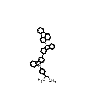 CCC(C)c1ccc(-n2c3ccccc3c3cc(-c4ccc5c(c4)c4ccccc4n5-c4ccc5c6c(cccc46)-c4ccccc4-5)ccc32)cc1